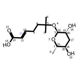 C[C@@H]1O[C@@H](OC(C)(C)CC/C=C/C(=O)O)[C@H](O)C[C@H]1O